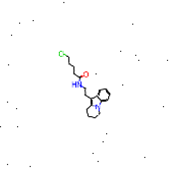 O=C(CCCCCl)NCCc1c2n(c3ccccc13)CCCC2